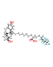 C[C@]12C[C@H](CCCCCCCCCC(CCCC(F)(F)C(F)(F)C(F)(F)C(F)(F)F)C(=O)O)[C@@H]3c4ccc(O)cc4CC[C@H]3[C@@H]1CC[C@@H]2O